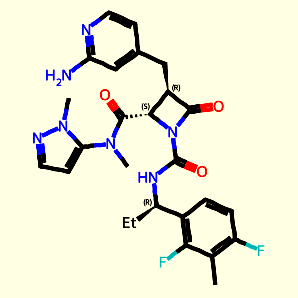 CC[C@@H](NC(=O)N1C(=O)[C@H](Cc2ccnc(N)c2)[C@H]1C(=O)N(C)c1ccnn1C)c1ccc(F)c(C)c1F